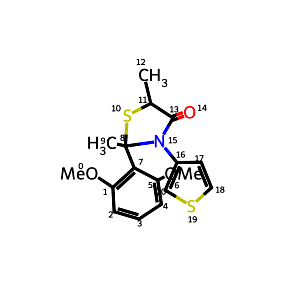 COc1cccc(OC)c1C1(C)SC(C)C(=O)N1c1ccsc1